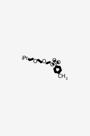 Cc1ccc(S(=O)(=O)OCCOCCOCCC(C)C)cc1